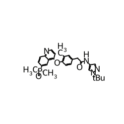 Cc1cc(CC(=O)Nc2cnn(C(C)(C)C)c2)ccc1Oc1ccnc2ccc(P(C)(C)=O)cc12